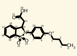 CCCCOc1ccc(N2C(CC(=O)O)c3ccccc3S2(=O)=O)cc1